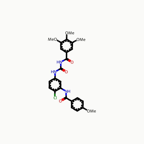 COc1ccc(C(=O)Nc2cc(NC(=O)NC(=O)c3cc(OC)c(OC)c(OC)c3)ccc2Cl)cc1